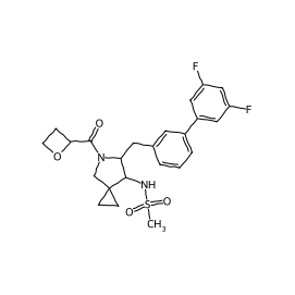 CS(=O)(=O)NC1C(Cc2cccc(-c3cc(F)cc(F)c3)c2)N(C(=O)C2CCO2)CC12CC2